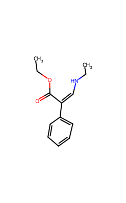 CCNC=C(C(=O)OCC)c1ccccc1